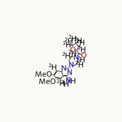 [2H]c1c(OC)c(OC)c([2H])c2c(N([2H])[2H])nc(N3CC([2H])([2H])N(C(=O)C4OC([2H])([2H])C([2H])([2H])C4([2H])[2H])C([2H])([2H])C3)nc12